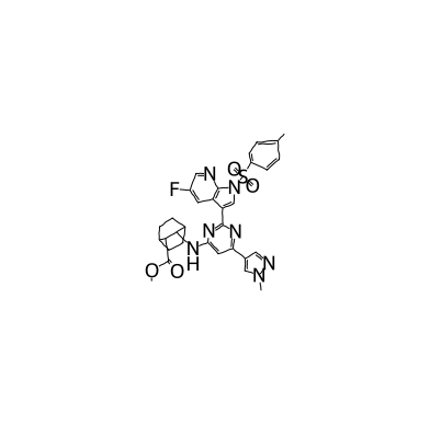 COC(=O)C1C2CCC(CC2)C1Nc1cc(-c2cnn(C)c2)nc(-c2cn(S(=O)(=O)c3ccc(C)cc3)c3ncc(F)cc23)n1